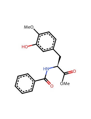 COC(=O)[C@H](Cc1ccc(OC)c(O)c1)NC(=O)c1ccccc1